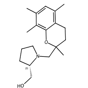 Cc1cc(C)c2c(c1C)OC(C)(CN1CCC[C@H]1CO)CC2